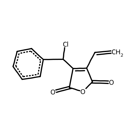 C=CC1=C(C(Cl)c2ccccc2)C(=O)OC1=O